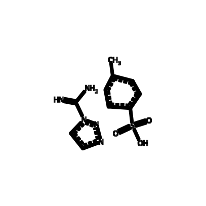 Cc1ccc(S(=O)(=O)O)cc1.N=C(N)n1ccnn1